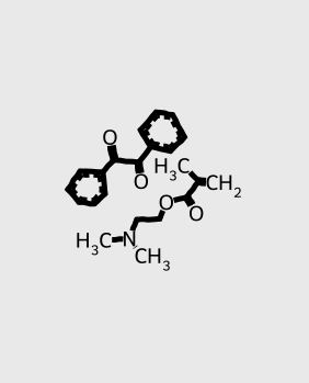 C=C(C)C(=O)OCCN(C)C.O=C(C(=O)c1ccccc1)c1ccccc1